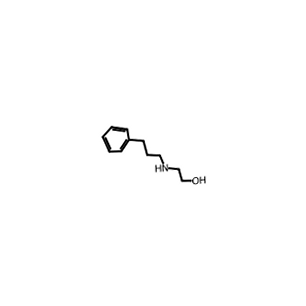 OCCNCCCc1ccccc1